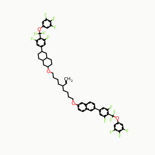 C=CC(CCCCOc1ccc2cc(-c3cc(F)c(C(F)(F)Oc4cc(F)c(F)c(F)c4)c(F)c3)ccc2c1)CCCCOC1CCC2CC(c3cc(F)c(C(F)(F)Oc4cc(F)c(F)c(F)c4)c(F)c3)CCC2C1